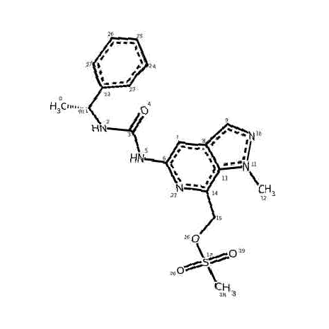 C[C@@H](NC(=O)Nc1cc2cnn(C)c2c(COS(C)(=O)=O)n1)c1ccccc1